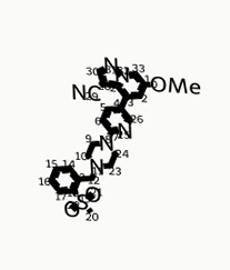 COc1cc(-c2ccc(N3CCN(Cc4ccccc4S(C)(=O)=O)CC3)nc2)c2c(C#N)cnn2c1